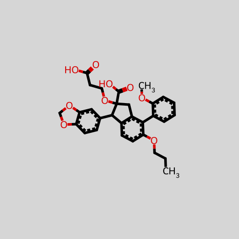 CCCOc1ccc2c(c1-c1ccccc1OC)CC(OCCC(=O)O)(C(=O)O)C2c1ccc2c(c1)OCO2